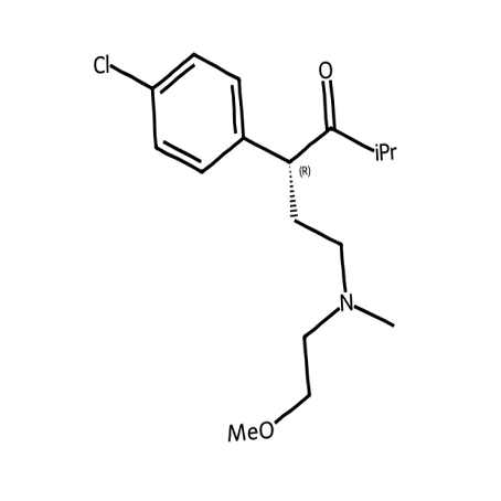 COCCN(C)CC[C@@H](C(=O)C(C)C)c1ccc(Cl)cc1